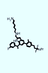 CCCC(F)(F)CCc1ccc(-c2cc(C(C)c3cccc(F)c3)c3[pH]c(CNCC/C=C/C=C/N)cc3c2)c(C)c1